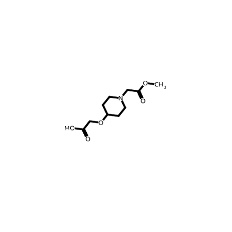 COC(=O)CN1CCC(OCC(=O)O)CC1